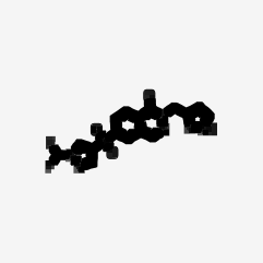 O=c1c2ccc(S(=O)(=O)c3cnn(C(F)F)c3)cc2cnn1Cc1cc[nH]n1